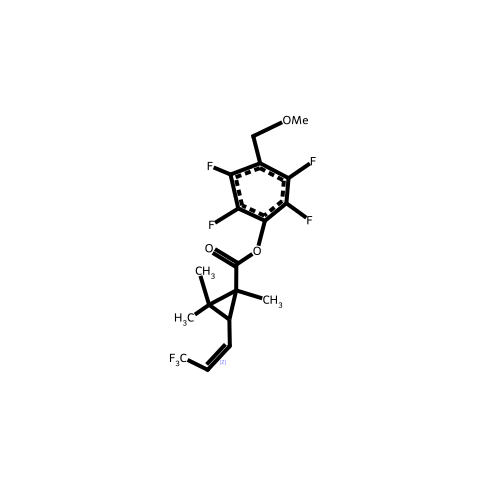 COCc1c(F)c(F)c(OC(=O)C2(C)C(/C=C\C(F)(F)F)C2(C)C)c(F)c1F